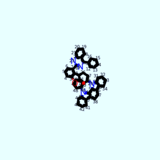 C1=C2Oc3cccc(-c4nc(-c5ccccc5)c5ccccc5n4)c3C2CC=C1n1c2ccccc2c2ccc3c4ccccc4n(-c4ccccc4)c3c21